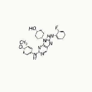 COc1ccc(Nc2ncc3nc(NC4=CCCC=C4F)n([C@H]4CC[C@@H](O)CC4)c3n2)cc1